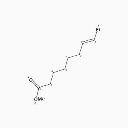 CCC=CCCCCCC(=O)OC